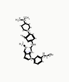 C=N/C=C1/C=CN(c2cccc(NSC(C)(C)C)c2)/C1=N/CNc1ccc(N2CCC(N(C)C)CC2)c(F)c1